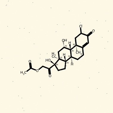 CC(=O)OCC(=O)[C@@]1(O)CC[C@H]2[C@@H]3CCC4=CC(=O)C(Cl)C[C@]4(C)[C@H]3[C@@H](O)C[C@@]21C